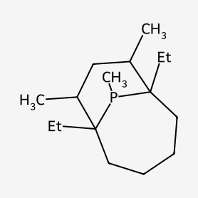 CCC12CCCCC(CC)(C(C)CC1C)P2C